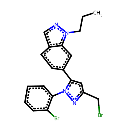 CCCn1ncc2ccc(-c3cc(CBr)nn3-c3ccccc3Br)cc21